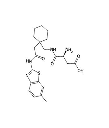 Cc1ccc2nc(NC(=O)CC3(CNC(=O)[C@@H](N)CC(=O)O)CCCCC3)sc2c1